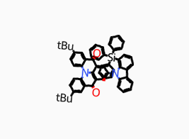 CC(C)(C)c1ccc2c(c1)c(=O)c1cc(-n3c4ccccc4c4cccc([Si](c5ccccc5)(c5ccccc5)c5ccccc5)c43)cc3c(=O)c4cc(C(C)(C)C)ccc4n2c13